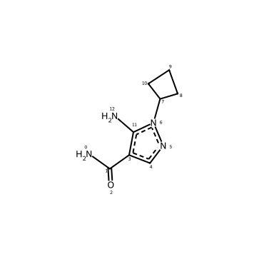 NC(=O)c1cnn(C2CCC2)c1N